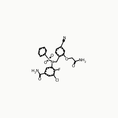 N#Cc1ccc(CN(c2cc(C(N)=O)cc(Cl)c2F)S(=O)(=O)c2ccccc2)c(OCC(N)=O)c1